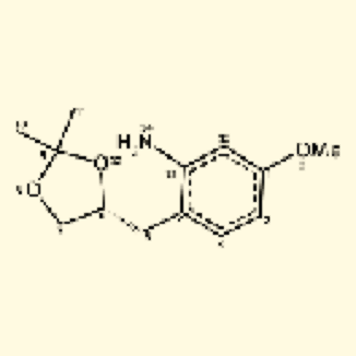 COc1ccc(C[C@@H]2COC(C)(C)O2)c(N)c1